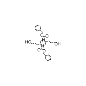 O=C(OCc1ccccc1)N1CC(CCCO)N(C(=O)OCc2ccccc2)CC1CCCO